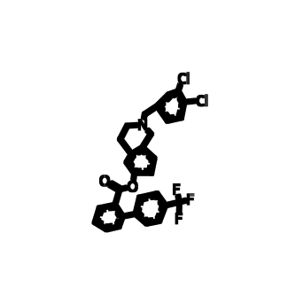 O=C(Oc1ccc2c(c1)CCN(Cc1ccc(Cl)c(Cl)c1)C2)c1ccccc1-c1ccc(C(F)(F)F)cc1